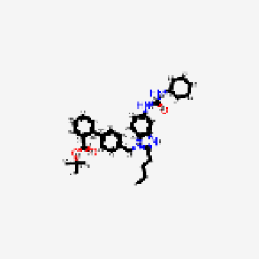 CCCCc1nc2cc(NC(=O)NC3CCCCC3)ccc2n1Cc1ccc(-c2ccccc2C(=O)OC(C)(C)C)cc1